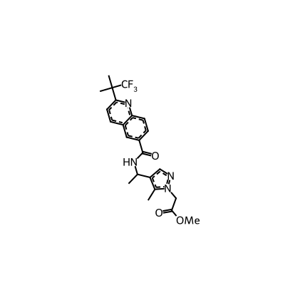 COC(=O)Cn1ncc(C(C)NC(=O)c2ccc3nc(C(C)(C)C(F)(F)F)ccc3c2)c1C